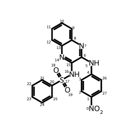 O=[N+]([O-])c1ccc(Nc2nc3ccccc3nc2NS(=O)(=O)c2ccccc2)cc1